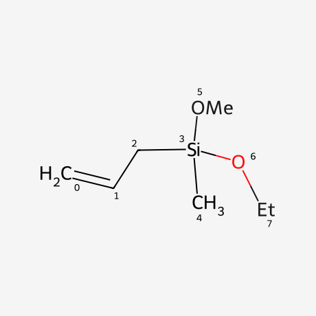 C=CC[Si](C)(OC)OCC